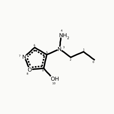 CCCN(N)c1cnoc1O